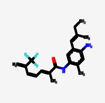 C=C(/C=C\C=C(/C)C(=O)Nc1cc(/C=C(\C)CC)c(N)cc1C)C(F)(F)F